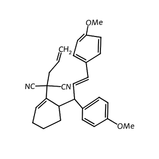 C=CCC(C#N)(C#N)C1=CCCCC1C(C=Cc1ccc(OC)cc1)c1ccc(OC)cc1